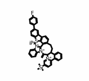 C=C1C2C(CCc3ccc4c(sc5ccc(-c6ccc(F)cc6)cc54)c3-c3n(C(C)C)c4ccccc4[n+]31)c1ccccc1-c1ccc([Si](C)(C)C)c[n+]12